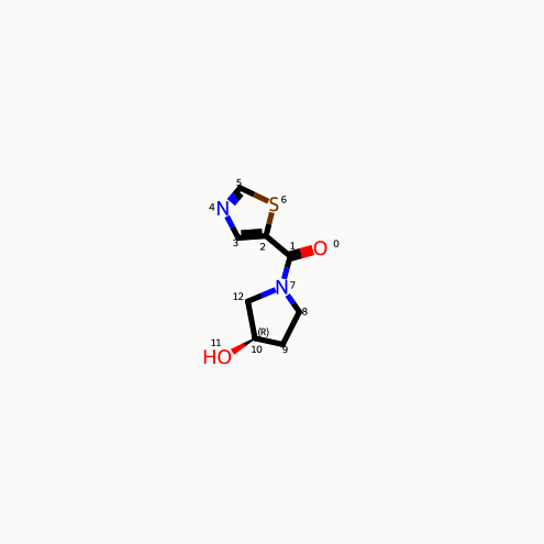 O=C(c1cncs1)N1CC[C@@H](O)C1